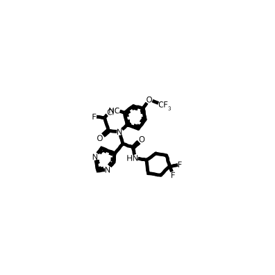 N#Cc1cc(OC(F)(F)F)ccc1N(C(=O)C(F)Cl)C(C(=O)NC1CCC(F)(F)CC1)c1cncnc1